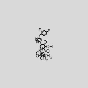 C=C1OCCN2[C@@H]1N(C)C(=O)c1c(O)c(=O)c(-c3nnc(Cc4ccc(F)cc4F)s3)cn12